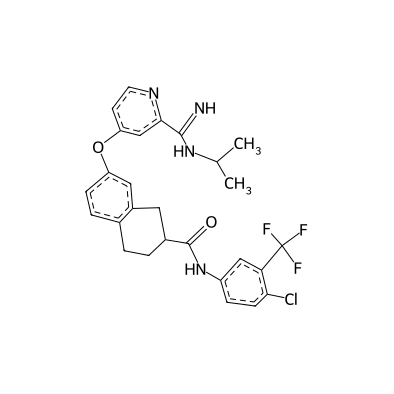 CC(C)NC(=N)c1cc(Oc2ccc3c(c2)CC(C(=O)Nc2ccc(Cl)c(C(F)(F)F)c2)CC3)ccn1